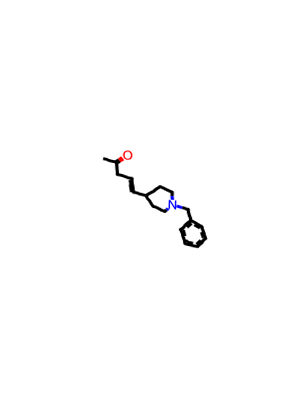 CC(=O)CC=CC1CCN(Cc2ccccc2)CC1